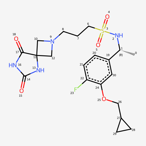 C[C@@H](NS(=O)(=O)CCCN1CC2(C1)NC(=O)NC2=O)c1ccc(F)c(OCC2CC2)c1